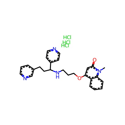 Cl.Cl.Cl.Cn1c(=O)cc(OCCCNC(CCc2cccnc2)c2ccncc2)c2ccccc21